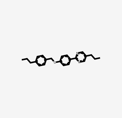 CCCc1ccc(COc2ccc(-c3ncc(CCC)cn3)cc2)cc1